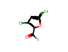 O=C(Cl)c1oc(Cl)cc1Cl